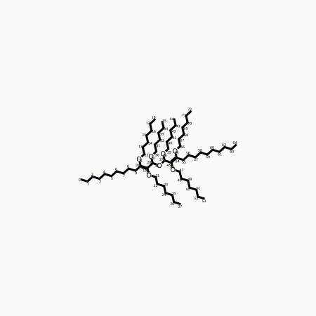 CCCCCCCCCCC(OCCCCCCC)=C(OCCCCCCC)C(OCCCCCC)OC(OCCCCCC)C(OCCCCCCC)=C(CCCCCCCCCC)OCCCCCCC